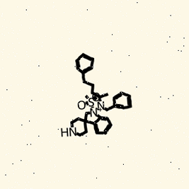 CC(CCCc1ccccc1)N(Cc1ccccc1)[N+]1(S(C)(=O)=O)CC2(CCNCC2)c2ccccc21